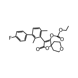 CCOC(=O)OC1=C(c2c(C)ccc(-c3ccc(F)cc3)c2C)C(=O)OC12CCOCC2